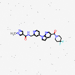 Cn1cc(C(=O)NCc2cc(-n3ccc4cc(C(=O)N5CCC(F)(F)CC5)cnc43)ccn2)cn1